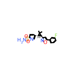 CC1(C)[C@@H](c2ccc(S(N)(=O)=O)nc2)[C@@H]1c1cc(-c2cccc(F)c2)on1